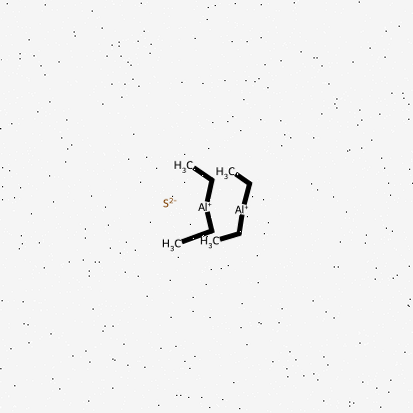 C[CH2][Al+][CH2]C.C[CH2][Al+][CH2]C.[S-2]